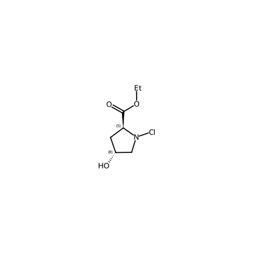 CCOC(=O)[C@@H]1C[C@@H](O)CN1Cl